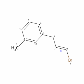 Cc1cccc(C/C=C/Br)c1